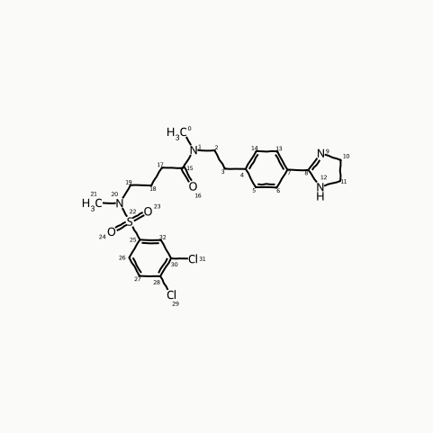 CN(CCc1ccc(C2=NCCN2)cc1)C(=O)CCCN(C)S(=O)(=O)c1ccc(Cl)c(Cl)c1